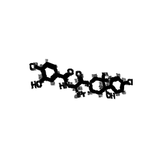 CC(C)[C@@H](NC(=O)c1ccc(Cl)c(O)c1)C(=O)N1CC[C@](O)(c2ccc(Cl)cc2)C(C)(C)C1